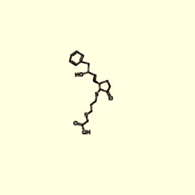 O=C(O)CSCCCSC1C(=O)CC[C@@H]1C=CC(O)Cc1ccccc1